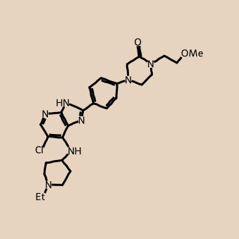 CCN1CCC(Nc2c(Cl)cnc3[nH]c(-c4ccc(N5CCN(CCOC)C(=O)C5)cc4)nc23)CC1